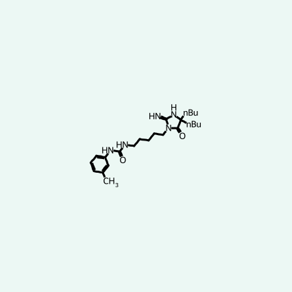 CCCCC1(CCCC)NC(=N)N(CCCCCNC(=O)Nc2cccc(C)c2)C1=O